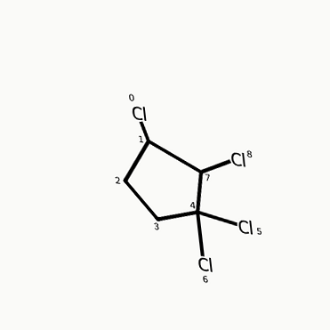 ClC1CCC(Cl)(Cl)C1Cl